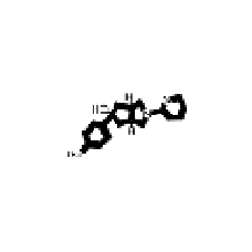 CC(C)(C)c1ccc([C@]2(O)C[C@H]3CN(c4ccccn4)C[C@H]3C2)cc1